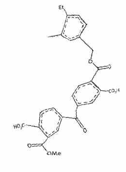 CCc1ccc(COC(=O)c2ccc(C(=O)c3ccc(C(=O)O)c(C(=O)OC)c3)cc2C(=O)O)cc1C